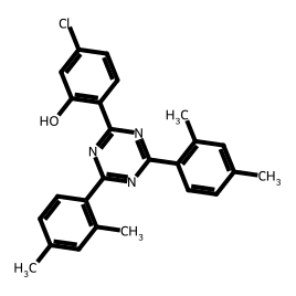 Cc1ccc(-c2nc(-c3ccc(C)cc3C)nc(-c3ccc(Cl)cc3O)n2)c(C)c1